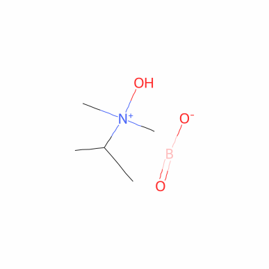 CC(C)[N+](C)(C)O.O=B[O-]